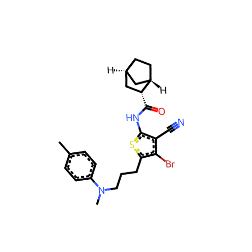 Cc1ccc(N(C)CCCc2sc(NC(=O)[C@@H]3C[C@H]4CC[C@H]3C4)c(C#N)c2Br)cc1